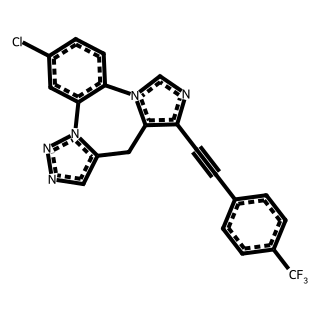 FC(F)(F)c1ccc(C#Cc2ncn3c2Cc2cnnn2-c2cc(Cl)ccc2-3)cc1